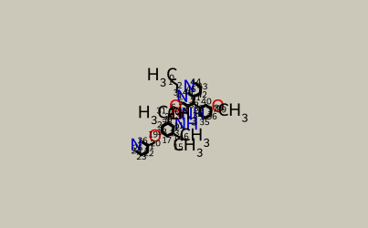 CCCCn1c(=O)c(NC(=O)Nc2c(C(C)C)cc(OCc3cccnc3)cc2C(C)C)c(-c2cccc(OC)c2)c2cccnc21